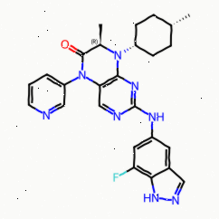 C[C@@H]1C(=O)N(c2cccnc2)c2cnc(Nc3cc(F)c4[nH]ncc4c3)nc2N1[C@H]1CC[C@@H](C)CC1